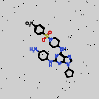 N[C@H]1CC[C@H](Nc2nc(NC3CCN(S(=O)(=O)c4ccc([N+](=O)[O-])cc4)CC3)c3ncn(C4CCCC4)c3n2)CC1